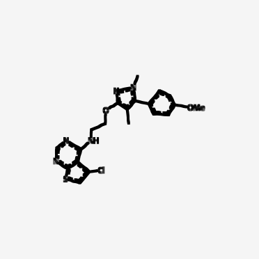 COc1ccc(-c2c(C)c(OCCNc3ncnc4scc(Cl)c34)nn2C)cc1